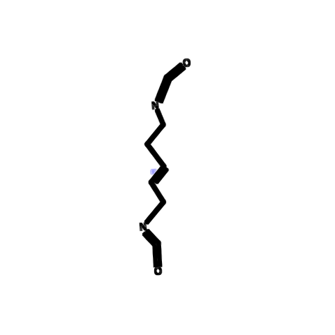 O=C=NC/C=C/CCN=C=O